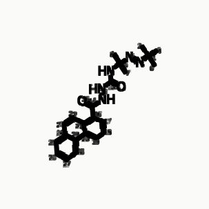 CC(C)(C)N=NC(C)(C)NC(=O)NNC(=O)c1cccc2c1ccc1ccccc12